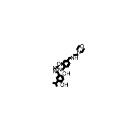 CC(C)c1cc(-c2nnc(O)n2Cc2ccc(CNCCN3CCOCC3)cc2)c(O)cc1O